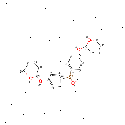 [O-][S+](c1ccc(OC2CCCCO2)cc1)c1ccc(OC2CCCCO2)cc1